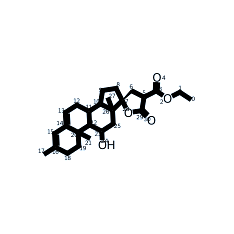 CCOC(=O)C1C[C@@]2(CCC3C4CC=C5C=C(C)CCC5(C)C4C(O)CC32C)OC1=O